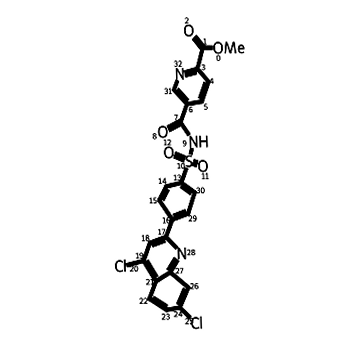 COC(=O)c1ccc(C(=O)NS(=O)(=O)c2ccc(-c3cc(Cl)c4ccc(Cl)cc4n3)cc2)cn1